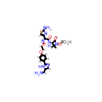 CC1(C)[C@H](NC(=O)C(=NOCCOc2ccc(C3=NCC(CN)N3)cc2)c2csc(N)n2)C(=O)N1OS(=O)(=O)O